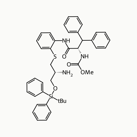 COC(=O)N[C@H](C(=O)Nc1ccccc1SC[C@H](N)CO[Si](c1ccccc1)(c1ccccc1)C(C)(C)C)C(c1ccccc1)c1ccccc1